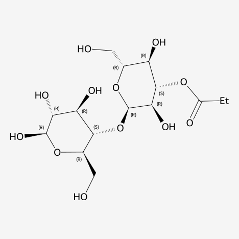 CCC(=O)O[C@@H]1[C@@H](O)[C@@H](O[C@H]2[C@H](O)[C@@H](O)[C@H](O)O[C@@H]2CO)O[C@H](CO)[C@H]1O